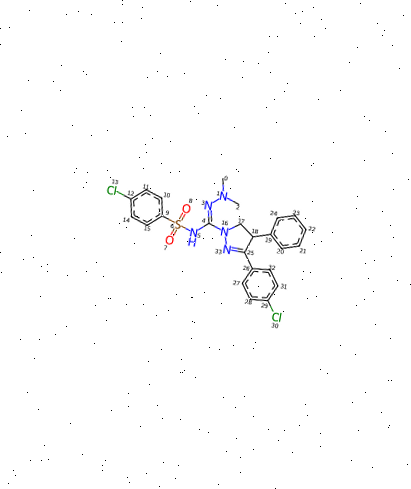 CN(C)N=C(NS(=O)(=O)c1ccc(Cl)cc1)N1CC(c2ccccc2)C(c2ccc(Cl)cc2)=N1